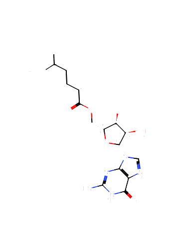 CCCCC(CCCC(=O)OC[C@H]1O[C@@H](n2cnc3c(=O)[nH]c(N)nc32)[C@H](O)[C@@H]1O)C(=O)O